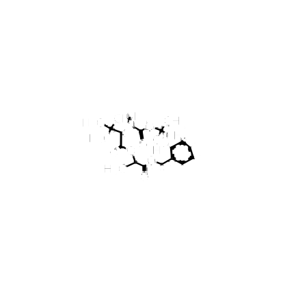 CC(OC(=O)[C@@H](N(C)C(=O)OC(C)(C)C)C(C)(C)C)C(=O)OCc1ccccc1